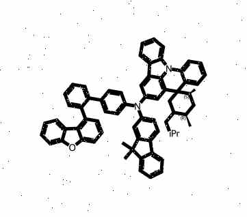 CC(C)CC1CC2(c3ccccc3-n3c4ccccc4c4cc(N(c5ccc(-c6ccccc6-c6cccc7oc8ccccc8c67)cc5)c5ccc6c(c5)C(C)(C)c5ccccc5-6)cc2c43)[C@@H](C)C[C@H]1C